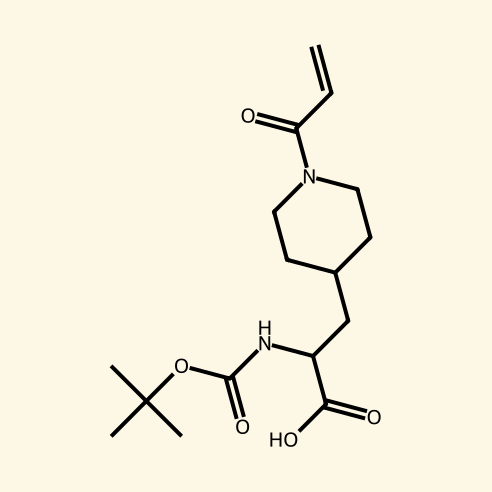 C=CC(=O)N1CCC(CC(NC(=O)OC(C)(C)C)C(=O)O)CC1